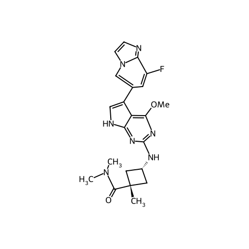 COc1nc(N[C@H]2C[C@@](C)(C(=O)N(C)C)C2)nc2[nH]cc(-c3cc(F)c4nccn4c3)c12